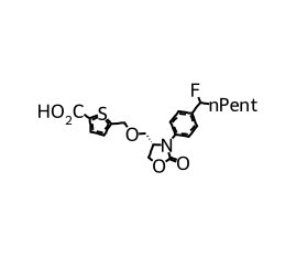 CCCCCC(F)c1ccc(N2C(=O)OC[C@@H]2COCc2ccc(C(=O)O)s2)cc1